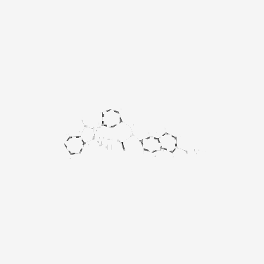 COC(=O)C(Cc1cccc(N2C(O)c3ccccc3C2O)c1)c1ccc2cc(OC)ccc2c1